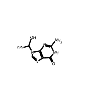 CCCC(O)n1cnc2c(=O)[nH]c(N)nc21